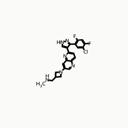 CNCC1CN(c2cnc3ccc(-c4c[nH]nc4-c4cc(Cl)c(F)cc4F)nc3c2)C1